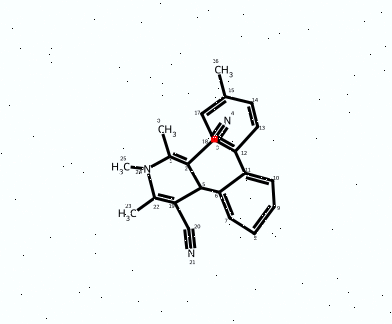 CC1=C(C#N)C(c2ccccc2-c2ccc(C)cc2)C(C#N)=C(C)N1C